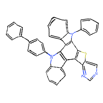 c1ccc(-c2ccc(-n3c4ccccc4c4c5c6ncncc6sc5c5c(c6ccccc6n5-c5ccccc5)c43)cc2)cc1